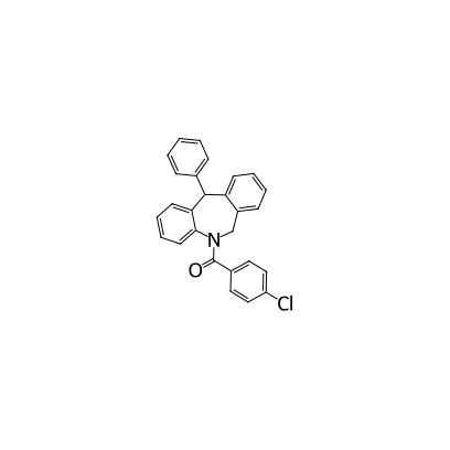 O=C(c1ccc(Cl)cc1)N1Cc2ccccc2C(c2ccccc2)c2ccccc21